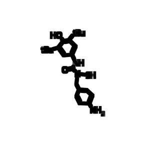 CC(C)(C)c1cc(NC(=O)N(S)Cc2ccc(N)cc2)cc(C(C)(C)C)c1O